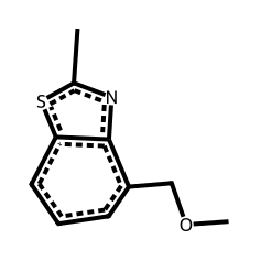 COCc1cccc2sc(C)nc12